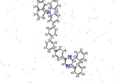 c1cc(-c2ccc(-c3ccc4c5ccccc5n(-c5cccc6ccccc56)c4c3)cc2)cc(-c2ccc(-c3cnc4c5ccccc5c5ccccc5c4n3)cc2)c1